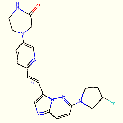 O=C1CN(c2ccc(/C=C/c3cnc4ccc(N5CCC(F)C5)nn34)nc2)CCN1